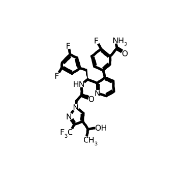 CC(O)c1cn(CC(=O)N[C@@H](Cc2cc(F)cc(F)c2)c2ncccc2-c2ccc(F)c(C(N)=O)c2)nc1C(F)(F)F